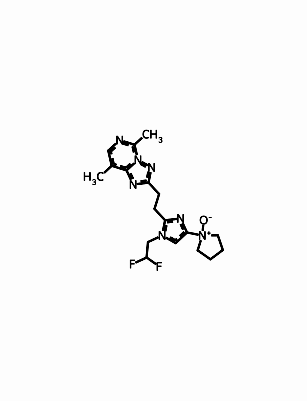 Cc1cnc(C)n2nc(CCc3nc([N+]4([O-])CCCC4)cn3CC(F)F)nc12